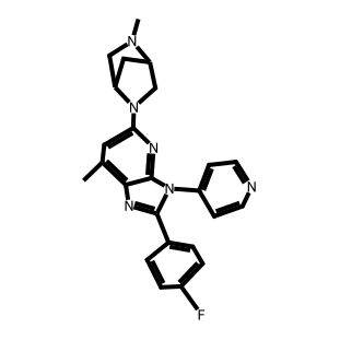 Cc1cc(N2CC3CC2CN3C)nc2c1nc(-c1ccc(F)cc1)n2-c1ccncc1